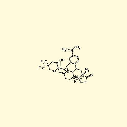 CN(C)c1ccc2c(c1)C[C@]13CC(O)C4(C=C1CC[C@@H]1C3C2C[C@]2(C)C(=O)CC[C@H]12)OCC(C)(C)CO4